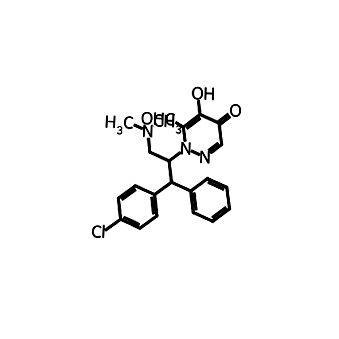 CN(C)CC(C(c1ccccc1)c1ccc(Cl)cc1)n1ncc(=O)c(O)c1C=O